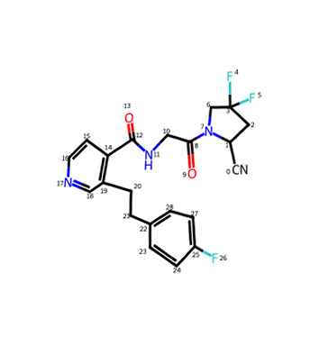 N#CC1CC(F)(F)CN1C(=O)CNC(=O)c1ccncc1CCc1ccc(F)cc1